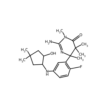 CN1C(=O)C(C)(C)C(C)(c2cc(NC3CC(C)(C)CC3O)ccc2F)N=C1N